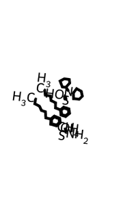 C.CCCCCCCc1ccccc1.CCCCCCCc1ccccc1.NC(O)=S.OC(=S)N(C1CCCCC1)C1CCCCC1